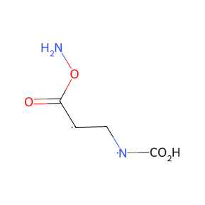 NOC(=O)[CH]C[N]C(=O)O